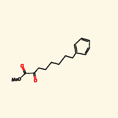 COC(=O)C(=O)CCCCCCc1ccccc1